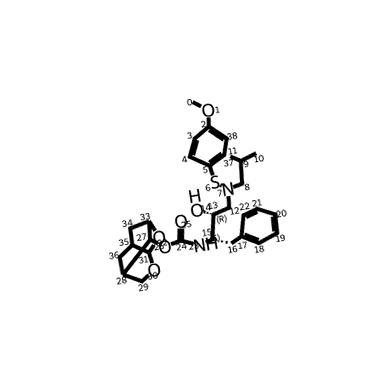 COc1ccc(SN(CC(C)C)C[C@@H](O)[C@H](Cc2ccccc2)NC(=O)OC2C3COC4OC2CC4C3)cc1